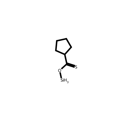 [SiH3]OC(=S)C1CCCC1